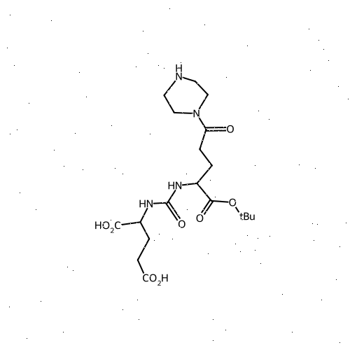 CC(C)(C)OC(=O)C(CCC(=O)N1CCNCC1)NC(=O)NC(CCC(=O)O)C(=O)O